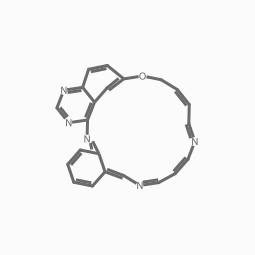 C1=C\N=C\C=C/COc2ccc3ncnc(c3c2)\N=c2/cccc/c2=C\N=C/1